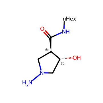 CCCCCCNC(=O)[C@@H]1CN(N)C[C@H]1O